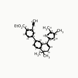 C#Cc1cc(-c2ccc3c(c2)C(c2nc(C)c(C)s2)=CCC3(C)C)ccc1C(=O)OCC